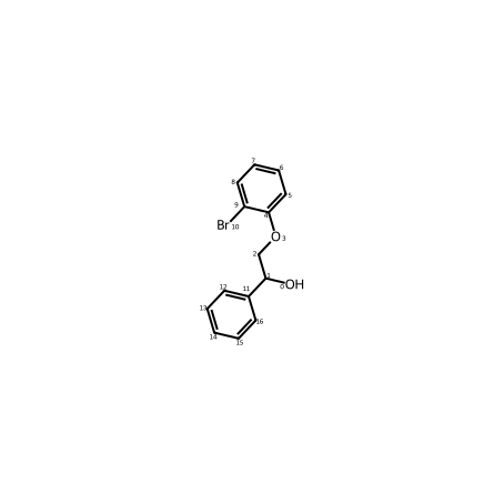 OC(COc1ccccc1Br)c1ccccc1